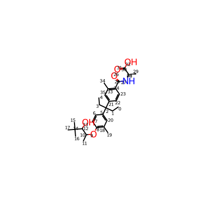 CCC(CC)(c1ccc(OC(C)C(O)C(C)(C)C)c(C)c1)c1ccc(C(=O)N[C@H](C)C(=O)O)c(C)c1